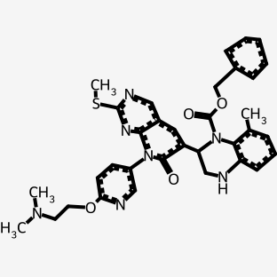 CSc1ncc2cc(C3CNc4cccc(C)c4N3C(=O)OCc3ccccc3)c(=O)n(-c3ccc(OCCN(C)C)nc3)c2n1